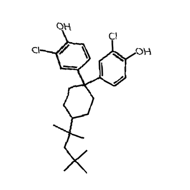 CC(C)(C)CC(C)(C)C1CCC(c2ccc(O)c(Cl)c2)(c2ccc(O)c(Cl)c2)CC1